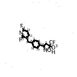 OC1(C(F)(F)F)CC(c2ccc(Cc3ccc(F)nc3F)cc2)=NO1